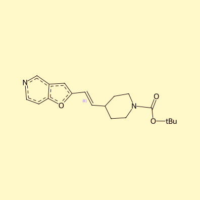 CC(C)(C)OC(=O)N1CCC(/C=C/c2cc3cnccc3o2)CC1